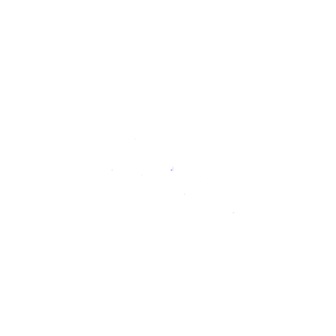 CCOC(=O)C1C(C)CC(NCc2ccc([N+](=O)[O-])c(F)c2)CC1C